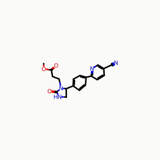 COC(=O)CCN1C(=O)NCC1c1ccc(-c2ccc(C#N)cn2)cc1